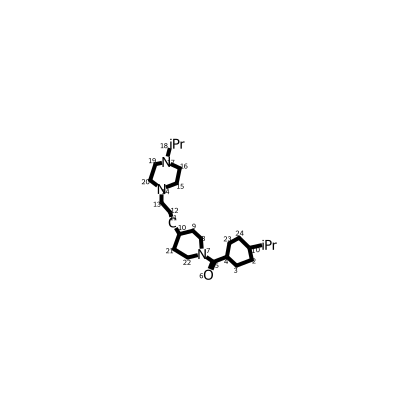 CC(C)C1CCC(C(=O)N2CCC(CCCN3CCN(C(C)C)CC3)CC2)CC1